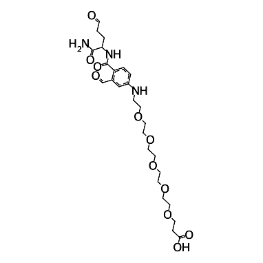 NC(=O)C(CCC=O)NC(=O)c1ccc(NCCOCCOCCOCCOCCOCCC(=O)O)cc1C=O